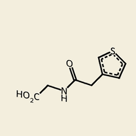 O=C(O)CNC(=O)Cc1ccsc1